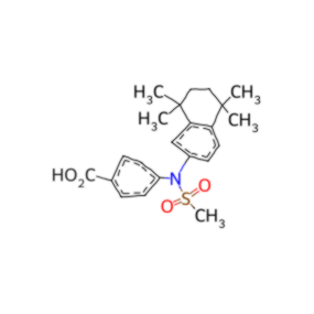 CC1(C)CCC(C)(C)c2cc(N(c3ccc(C(=O)O)cc3)S(C)(=O)=O)ccc21